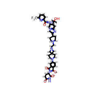 CC(C)(O)c1cc2nc(C3CCN(CCN4CC5(CCN(c6ccc7c(c6)C(=O)N(C6CCC(=O)NC6=O)C7=O)CC5)C4)CC3)cn2cc1NC(=O)c1cccc(C(F)(F)F)n1